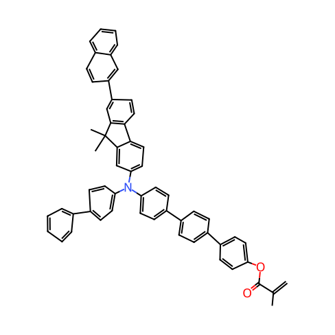 C=C(C)C(=O)Oc1ccc(-c2ccc(-c3ccc(N(c4ccc(-c5ccccc5)cc4)c4ccc5c(c4)C(C)(C)c4cc(-c6ccc7ccccc7c6)ccc4-5)cc3)cc2)cc1